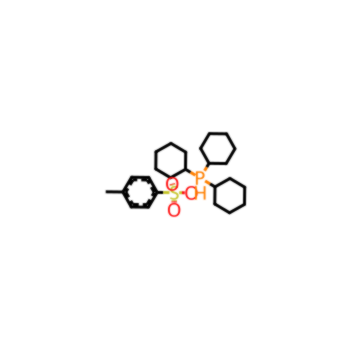 Cc1ccc(S(=O)(=O)O[PH](C2CCCCC2)(C2CCCCC2)C2CCCCC2)cc1